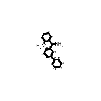 Nc1ccccc1C(N)c1cccc(-c2ccccc2)c1